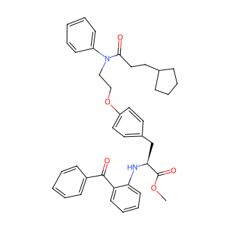 COC(=O)[C@H](Cc1ccc(OCCN(C(=O)CCC2CCCC2)c2ccccc2)cc1)Nc1ccccc1C(=O)c1ccccc1